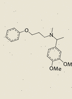 COc1ccc(C(C)N(C)CCCOc2cc[c]cc2)cc1OC